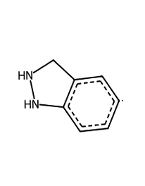 [c]1ccc2c(c1)CNN2